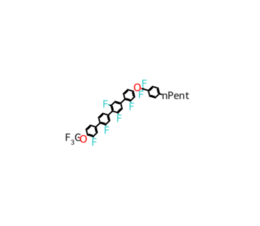 CCCCCc1ccc(C(F)(F)Oc2ccc(-c3cc(F)c(-c4ccc(-c5ccc(OC(F)(F)F)c(F)c5)c(F)c4)c(F)c3)c(F)c2)cc1